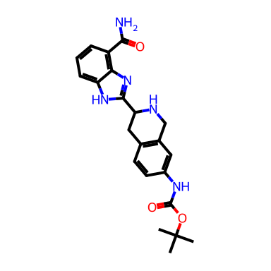 CC(C)(C)OC(=O)Nc1ccc2c(c1)CNC(c1nc3c(C(N)=O)cccc3[nH]1)C2